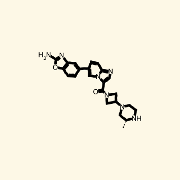 C[C@@H]1CN(C2CN(C(=O)c3cnc4ccc(-c5ccc6oc(N)nc6c5)cn34)C2)CCN1